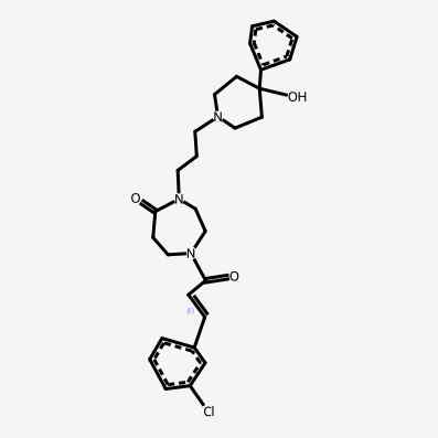 O=C(/C=C/c1cccc(Cl)c1)N1CCC(=O)N(CCCN2CCC(O)(c3ccccc3)CC2)CC1